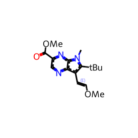 CO/C=C/c1c(C(C)(C)C)n(C)c2nc(C(=O)OC)cnc12